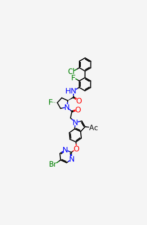 CC(=O)c1cn(CC(=O)N2C[C@H](F)C[C@H]2C(=O)Nc2cccc(-c3ccccc3Cl)c2F)c2ccc(Oc3ncc(Br)cn3)cc12